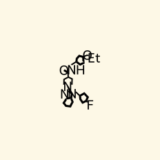 CCOc1ccc(CNC(=O)C2CCN(c3nc4ccccc4n3Cc3ccc(F)cc3)CC2)cc1